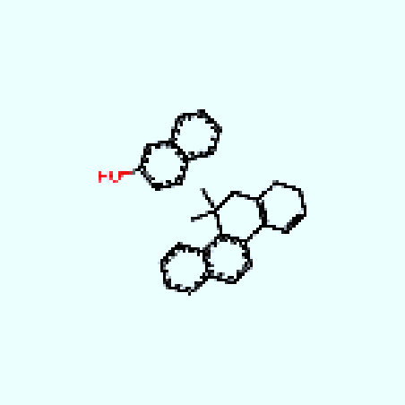 CC1(C)CC2=C(C=CCC2)c2ccc3ccccc3c21.Oc1ccc2ccccc2c1